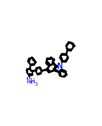 Nc1ccc(-c2ccccc2)c(-c2ccc(-c3cc4c5ccccc5n(-c5ccc(-c6ccccc6)cc5)c4c4ccccc34)cc2)c1